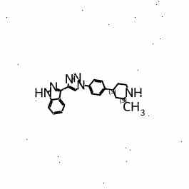 C[C@H]1C[C@@H](c2ccc(-n3cc(-c4n[nH]c5ccccc45)nn3)cc2)CCN1